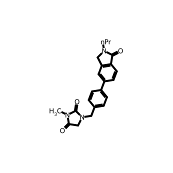 CCCN1Cc2cc(-c3ccc(CN4CC(=O)N(C)C4=O)cc3)ccc2C1=O